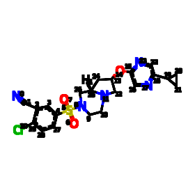 N#Cc1cc(S(=O)(=O)N2CCN3C[C@H](Oc4cnc(C5CC5)cn4)C[C@H]3C2)ccc1Cl